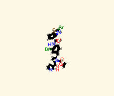 C=C(C)OC(=O)N1[C@H](Cc2ccc(NC(=O)[C@@H]3CCc4sc(Br)nc43)c(Br)c2)CC[C@@H]1[C@H](O)c1cccnc1